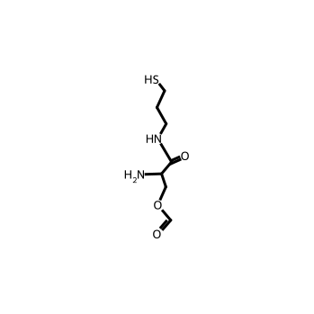 NC(COC=O)C(=O)NCCCS